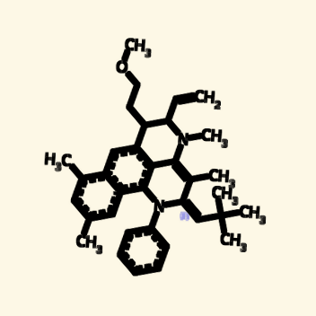 C=CC1C(CCOC)c2cc3c(C)cc(C)cc3c3c2C(=C(C)/C(=C\C(C)(C)C)N3c2ccccc2)N1C